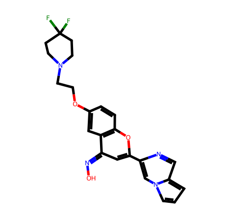 ON=c1cc(-c2cn3cccc3cn2)oc2ccc(OCCN3CCC(F)(F)CC3)cc12